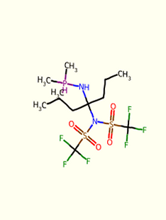 CCCC(CCC)(N[PH](C)(C)C)N(S(=O)(=O)C(F)(F)F)S(=O)(=O)C(F)(F)F